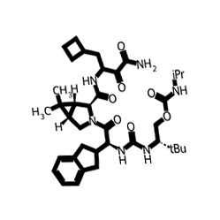 CC(C)NC(=O)OC[C@@H](NC(=O)N[C@H](C(=O)N1C[C@H]2[C@@H]([C@H]1C(=O)NC(CC1CCC1)C(=O)C(N)=O)C2(C)C)C1Cc2ccccc2C1)C(C)(C)C